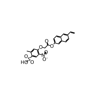 C=Cc1ccc2cc(OC(=O)COc3cc(C)c(S(=O)(=O)O)cc3[N+](=O)[O-])ccc2c1